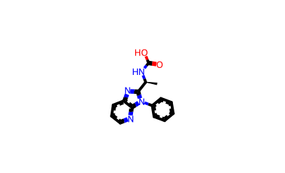 C[C@H](NC(=O)O)c1nc2cccnc2n1-c1ccccc1